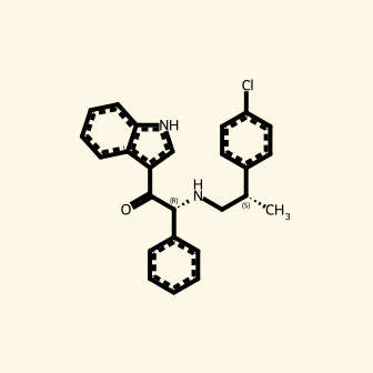 C[C@H](CN[C@@H](C(=O)c1c[nH]c2ccccc12)c1ccccc1)c1ccc(Cl)cc1